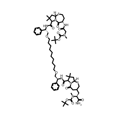 CN(CC(=O)N[C@H]1CCS[C@H]2CC(C)(C)C(C(=O)N[C@H](COCCCCCCCCCCOC[C@@H](NC(=O)C3N4C(=O)CC(C[C@@H](C(N)=O)N(C)C(=O)OC(C)(C)C)CS[C@H]4CC3(C)C)c3ccccc3)c3ccccc3)N2C1=O)C(=O)OC(C)(C)C